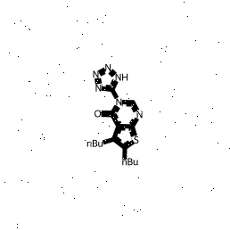 CCCCc1sc2ncn(-c3nnn[nH]3)c(=O)c2c1CCCC